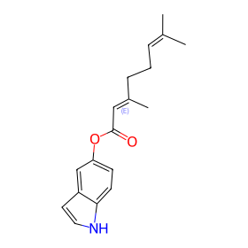 CC(C)=CCC/C(C)=C/C(=O)Oc1ccc2[nH]ccc2c1